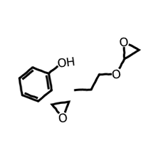 C1CO1.CCCOC1CO1.Oc1ccccc1